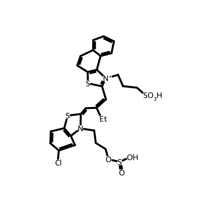 CCC(=Cc1sc2ccc3ccccc3c2[n+]1CCCS(=O)(=O)O)C=C1Sc2ccc(Cl)cc2N1CCCOS(=O)O